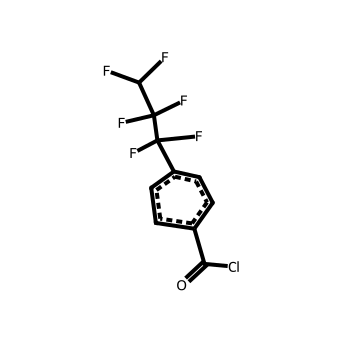 O=C(Cl)c1ccc(C(F)(F)C(F)(F)C(F)F)cc1